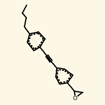 CCCCc1ccc(C#Cc2ccc(C3CO3)cc2)cc1